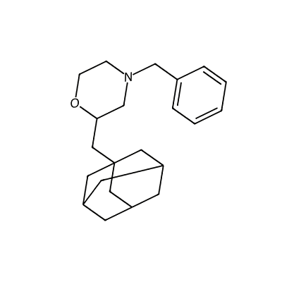 c1ccc(CN2CCOC(CC34CC5CC(CC(C5)C3)C4)C2)cc1